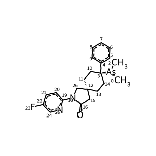 C[As](C)[C@]1(c2ccccc2)CC[C@]2(CC1)CC(=O)N(c1ccc(F)cn1)C2